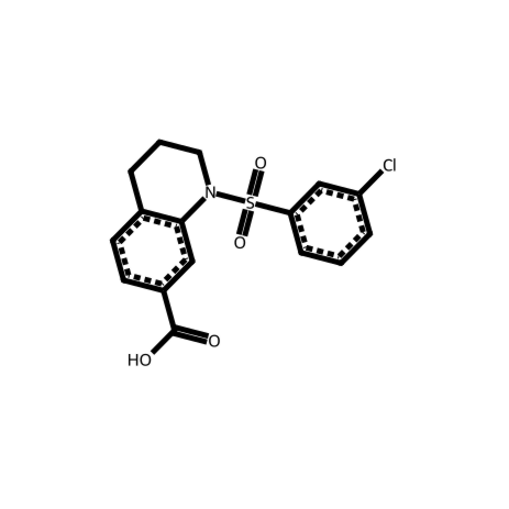 O=C(O)c1ccc2c(c1)N(S(=O)(=O)c1cccc(Cl)c1)CCC2